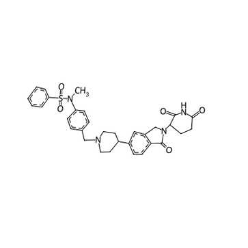 CN(c1ccc(CN2CCC(c3ccc4c(c3)CN(C3CCC(=O)NC3=O)C4=O)CC2)cc1)S(=O)(=O)c1ccccc1